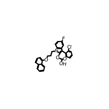 O=C(O)Oc1c(-c2ccccc2Cl)c2cc(F)ccc2n1CCCOc1cccc2ccccc12